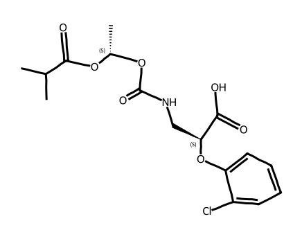 CC(C)C(=O)O[C@H](C)OC(=O)NC[C@H](Oc1ccccc1Cl)C(=O)O